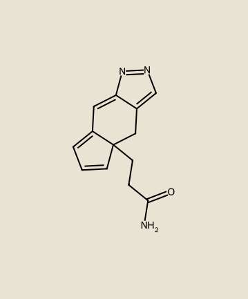 NC(=O)CCC12C=CC=C1C=C1N=NC=C1C2